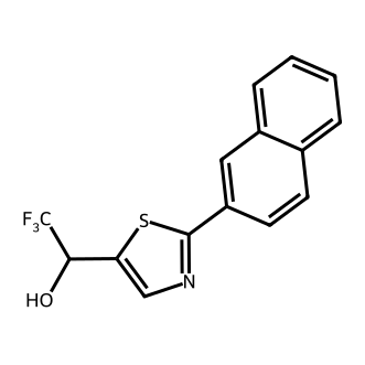 OC(c1cnc(-c2ccc3ccccc3c2)s1)C(F)(F)F